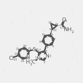 Cn1cnc(-c2ccc([C@H]3C[C@@H]3C(N)=O)cc2)c1Sc1ccc(Cl)cn1